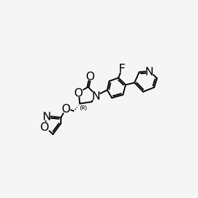 O=C1O[C@@H](COc2ccon2)CN1c1ccc(-c2cccnc2)c(F)c1